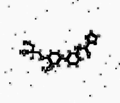 CC(C)C[C@](C)(N)COc1ccc(-c2ccnc(NC(=O)c3nccs3)c2)cc1C(F)(F)F